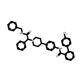 O=C(Nc1ccc(C2CCN(C(C(=O)NCc3ccccc3)c3ccccc3)CC2)cc1)c1ccccc1-c1ccc(C(F)(F)F)cc1